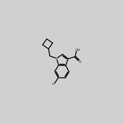 O=C(O)c1cn(CC2CCC2)c2cc(Cl)ccc12